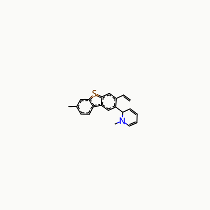 C=Cc1cc2sc3cc(C)ccc3c2cc1C1C=CC=CN1C